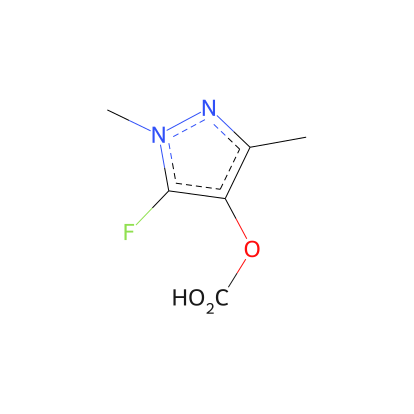 Cc1nn(C)c(F)c1OC(=O)O